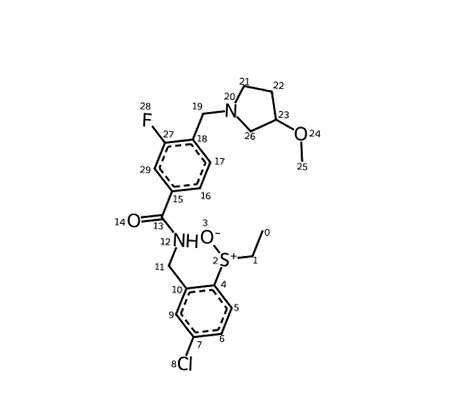 CC[S+]([O-])c1ccc(Cl)cc1CNC(=O)c1ccc(CN2CCC(OC)C2)c(F)c1